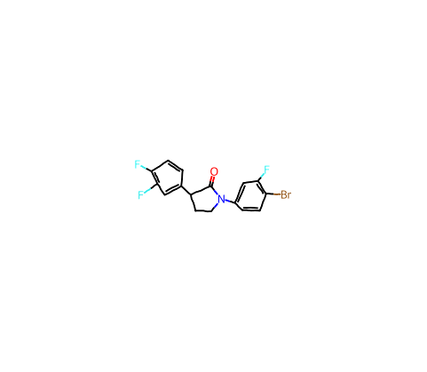 O=C1C(c2ccc(F)c(F)c2)CCN1c1ccc(Br)c(F)c1